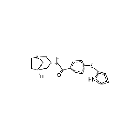 O=C(N[C@@H]1C[C@H]2CCN(C2)C1)c1ccc(Sc2ccc[nH]2)cc1